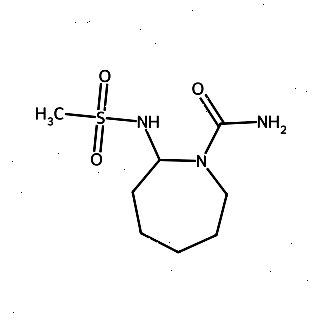 CS(=O)(=O)NC1CCCCCN1C(N)=O